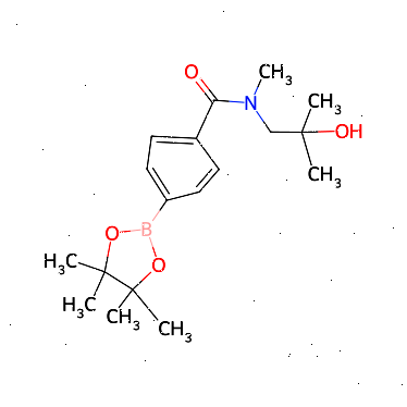 CN(CC(C)(C)O)C(=O)c1ccc(B2OC(C)(C)C(C)(C)O2)cc1